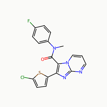 CN(C(=O)c1c(-c2ccc(Cl)s2)nc2ncccn12)c1ccc(F)cc1